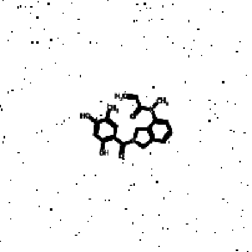 C=CC(=O)N(C)c1cccc2c1CN(C(=O)c1cc(C)c(O)cc1O)C2